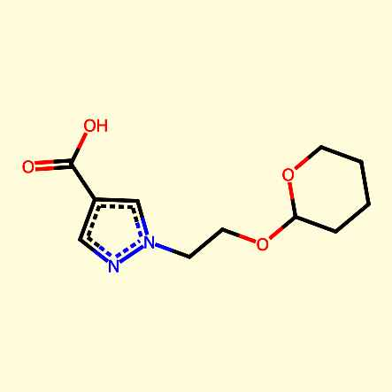 O=C(O)c1cnn(CCOC2CCCCO2)c1